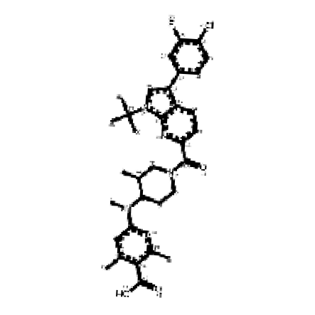 Cc1cc(N(C)C2CCN(C(=O)c3ccc4c(-c5ccc(Cl)c(F)c5)cn(C(C)(C)C)c4n3)CC2C)nc(C)c1C(=O)O